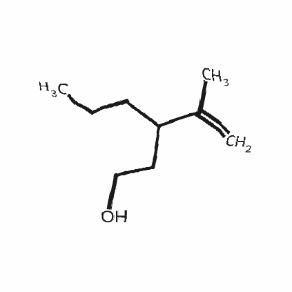 C=C(C)C(CCC)CCO